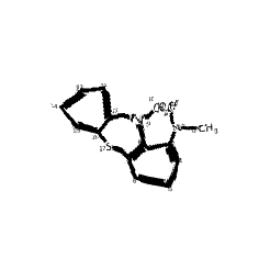 CN(C)c1cccc2c1N(C(=O)O)c1ccccc1S2